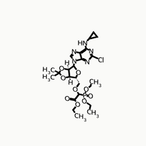 CCOC(=O)C(OC[C@H]1OC(n2cnc3c(NC4CC4)nc(Cl)nc32)[C@@H]2OC(C)(C)O[C@H]12)P(=O)(OCC)OCC